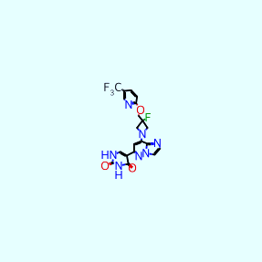 O=c1[nH]cc(-c2cc(N3CC(F)(COc4ccc(C(F)(F)F)cn4)C3)c3nccn3n2)c(=O)[nH]1